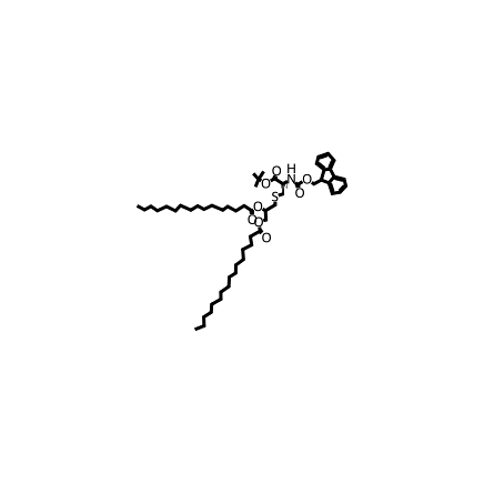 CCCCCCCCCCCCCCCC(=O)OCC(CSC[C@H](NC(=O)OCC1c2ccccc2-c2ccccc21)C(=O)OC(C)(C)C)OC(=O)CCCCCCCCCCCCCCC